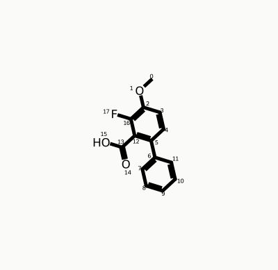 COc1ccc(-c2ccccc2)c(C(=O)O)c1F